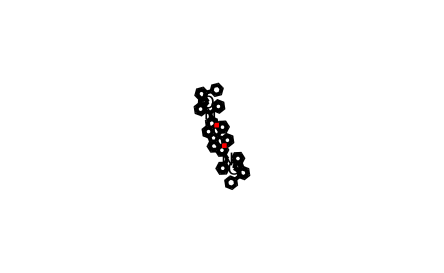 c1ccc(N(c2ccc3c4c(ccc3c2)-c2ccc3cc(N(c5ccccc5)c5cccc6c5oc5c(C7CCCCC7)cccc56)ccc3c2C4(c2ccccc2)c2ccccc2)c2cccc3c2oc2c(C4CCCCC4)cccc23)cc1